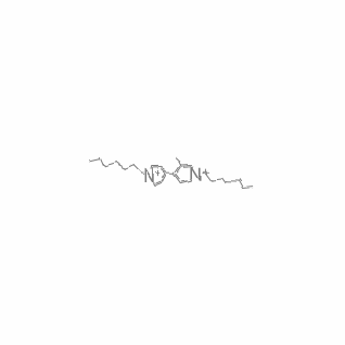 CCCCCCC[n+]1ccc(-c2cc[n+](CCCCCCC)cc2C)cc1